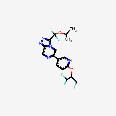 CC(C)OC(F)(F)c1nnc2cnc(-c3ccc(OC(CF)C(F)F)nc3)cn12